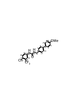 COc1ccc(-c2ccc(CNC(=O)Nc3ccc(Cl)c(C(F)(F)F)c3)cc2)cn1